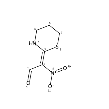 O=CC(=C1NCCCS1)[N+](=O)[O-]